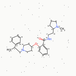 CC(CN1CCC(Oc2ccccc2C(=O)NCCC2CCCN2C)CC1)c1ccccc1